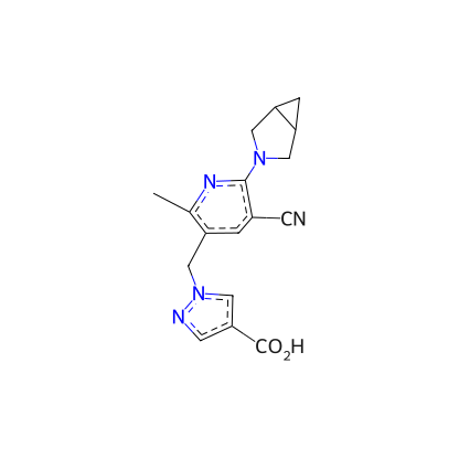 Cc1nc(N2CC3CC3C2)c(C#N)cc1Cn1cc(C(=O)O)cn1